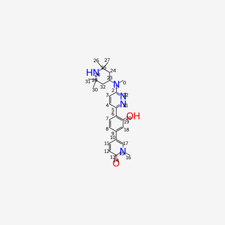 CN(c1ccc(-c2ccc(-c3ccc(=O)n(C)c3)cc2O)nn1)C1CC(C)(C)NC(C)(C)C1